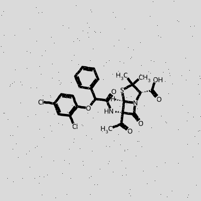 CC(=O)[C@]1(NC(=O)C(Oc2ccc(Cl)cc2Cl)c2ccccc2)C(=O)N2[C@@H](C(=O)O)C(C)(C)S[C@@H]21